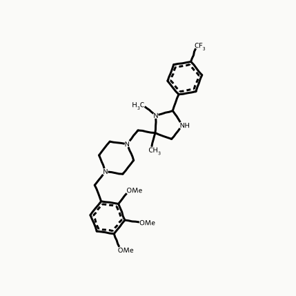 COc1ccc(CN2CCN(CC3(C)CNC(c4ccc(C(F)(F)F)cc4)N3C)CC2)c(OC)c1OC